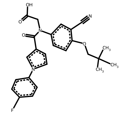 CC(C)(C)COc1ccc(N(CC(=O)O)C(=O)c2ccn(-c3ccc(F)cc3)c2)cc1C#N